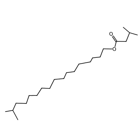 CC(C)CCCCCCCCCCCCCCCOC(=O)CC(C)C